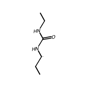 CC[CH]NC(=O)NCC